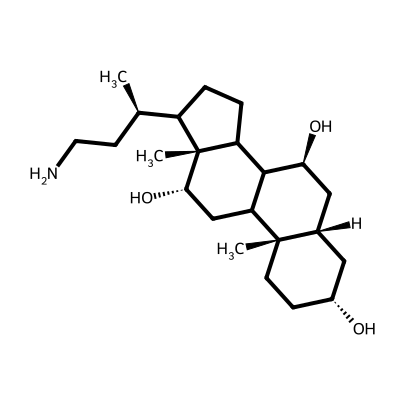 C[C@H](CCN)C1CCC2C3C(C[C@H](O)[C@@]21C)[C@@]1(C)CC[C@@H](O)C[C@H]1C[C@@H]3O